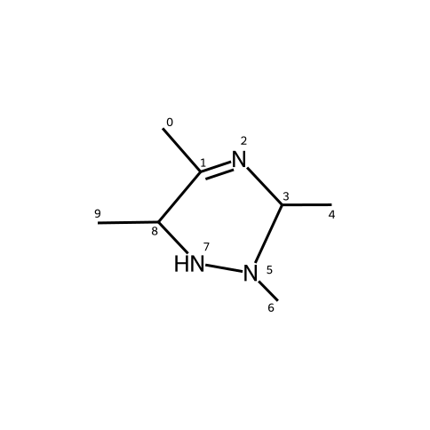 CC1=NC(C)N(C)NC1C